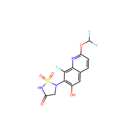 O=C1CN(c2c(O)cc3ccc(OC(F)F)nc3c2F)S(=O)(=O)N1